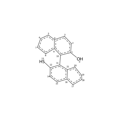 Oc1ccc2ccccc2c1-c1c(S)ccc2ccccc12